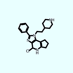 ClC1NC2=C(CCC2)c2c1nc(-c1ccccc1)n2CCC1CCNCC1